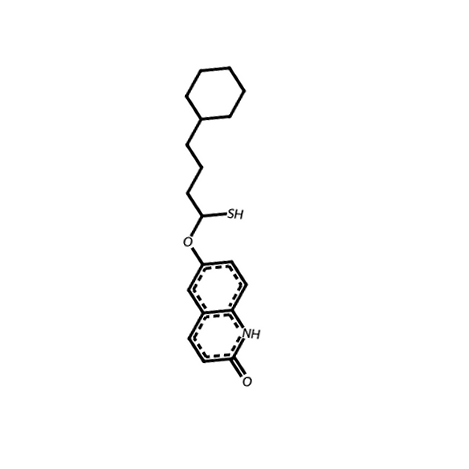 O=c1ccc2cc(OC(S)CCCC3CCCCC3)ccc2[nH]1